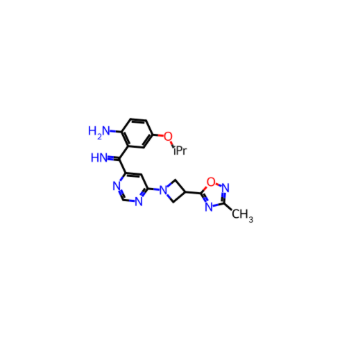 Cc1noc(C2CN(c3cc(C(=N)c4cc(OC(C)C)ccc4N)ncn3)C2)n1